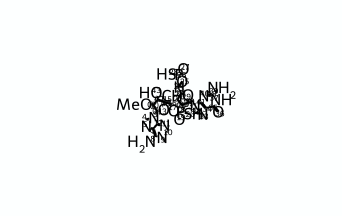 CO[C@H]1[C@@H](n2cnc3c(N)ncnc32)O[C@](C)(COP(=O)(S)[C@@H]2C[C@@H](CO[PH](=O)S)O[C@H]2n2cnc3c(=O)[nH]c(N)nc32)[C@H]1O